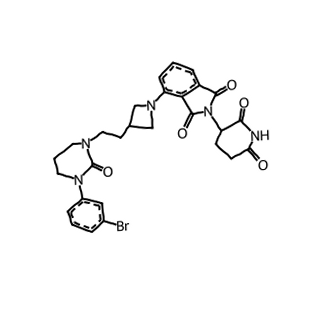 O=C1CCC(N2C(=O)c3cccc(N4CC(CCN5CCCN(c6cccc(Br)c6)C5=O)C4)c3C2=O)C(=O)N1